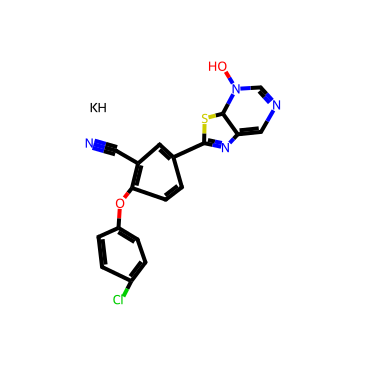 N#Cc1cc(C2=NC3=CN=CN(O)C3S2)ccc1Oc1ccc(Cl)cc1.[KH]